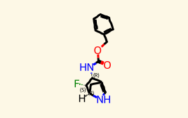 O=C(N[C@@H]1C2=CN[C@H](C2)[C@@H]1F)OCc1ccccc1